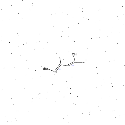 C/C(O)=C/C(C)=N/C(C)(C)C